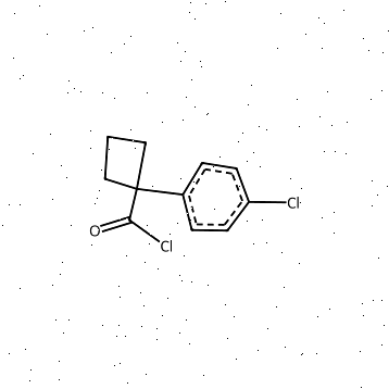 O=C(Cl)C1(c2ccc(Cl)cc2)CCC1